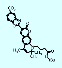 CC1=CC(C)(C)N(CCCC(=O)OC(C)(C)C)c2cc3oc(=O)c(-c4nc5cc(C(=O)O)ccc5o4)cc3cc21